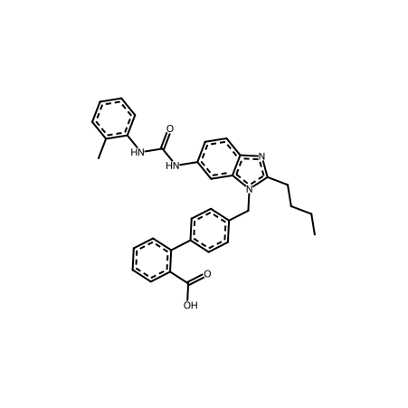 CCCCc1nc2ccc(NC(=O)Nc3ccccc3C)cc2n1Cc1ccc(-c2ccccc2C(=O)O)cc1